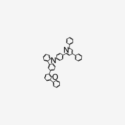 c1ccc(-c2cc(-c3ccccc3)nc(-c3ccc(-n4c5ccccc5c5cc(-c6cccc7c6oc6ccccc67)ccc54)cc3)c2)cc1